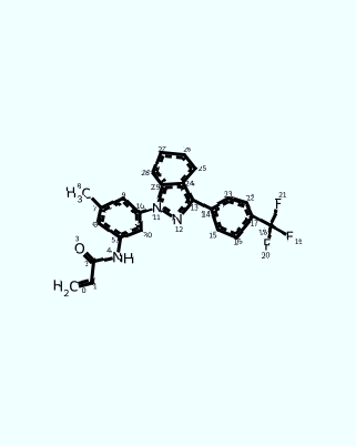 C=CC(=O)Nc1cc(C)cc(-n2nc(-c3ccc(C(F)(F)F)cc3)c3ccccc32)c1